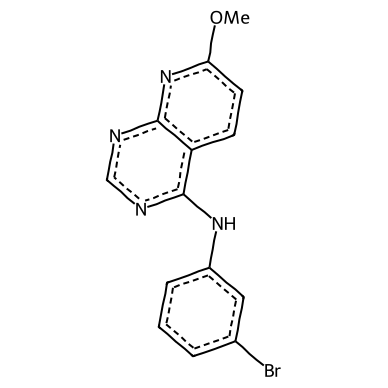 COc1ccc2c(Nc3cccc(Br)c3)ncnc2n1